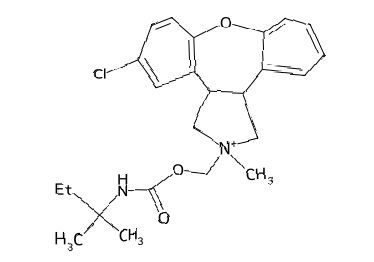 CCC(C)(C)NC(=O)OC[N+]1(C)CC2c3ccccc3Oc3ccc(Cl)cc3C2C1